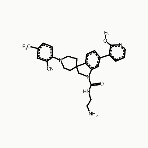 CCOc1ncccc1-c1ccc2c(c1)N(C(=O)NCCN)CC21CCN(c2ccc(C(F)(F)F)cc2C#N)CC1